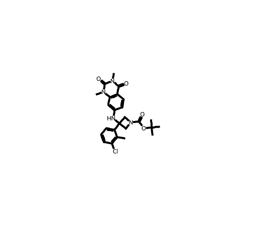 Cc1c(Cl)cccc1C1(Nc2ccc3c(=O)n(C)c(=O)n(C)c3c2)CN(C(=O)OC(C)(C)C)C1